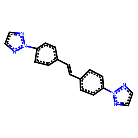 C(=Cc1ccc(-n2nccn2)cc1)c1ccc(-n2nccn2)cc1